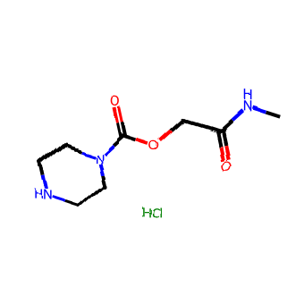 CNC(=O)COC(=O)N1CCNCC1.Cl